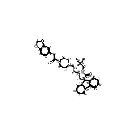 O=C(Cc1ccc2c(c1)OCO2)N1CCN(CCCCC2(C(=O)NCC(F)(F)F)c3ccccc3-c3ccccc32)CC1